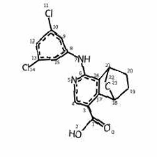 O=C(O)c1cnc(Nc2cc(Cl)cc(Cl)c2)c2c1C1CCC2CC1